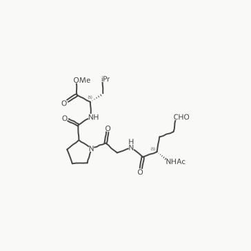 COC(=O)[C@H](CC(C)C)NC(=O)C1CCCN1C(=O)CNC(=O)[C@H](CCC=O)NC(C)=O